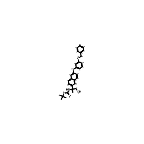 CC(C)(C)OC(=O)NC(C)(CO)c1ccc2cc(Sc3cccc(OCc4ccccc4)c3)ccc2c1